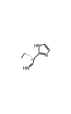 CC[C@@H](C=N)c1ncc[nH]1